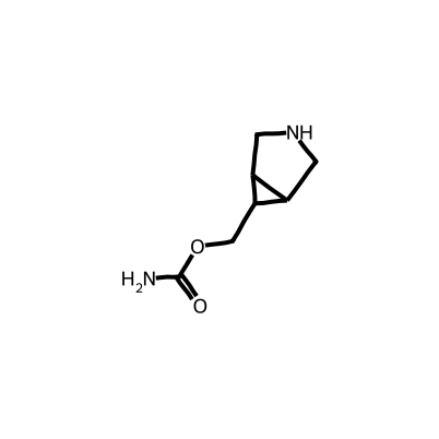 NC(=O)OCC1C2CNCC21